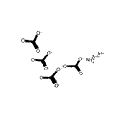 O=C([O-])[O-].O=C([O-])[O-].O=C([O-])[O-].O=C([O-])[O-].[Ir+3].[NH4+].[Zr+4]